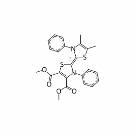 COC(=O)C1=C(C(=O)OC)N(c2ccccc2)/C(=C2\SC(C)=C(C)N2c2ccccc2)S1